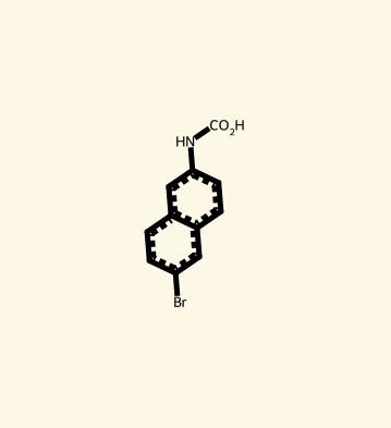 O=C(O)Nc1ccc2cc(Br)ccc2c1